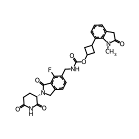 CN1C(=O)Cc2cccc(C3CC(OC(=O)NCc4ccc5c(c4F)C(=O)N([C@H]4CCC(=O)NC4=O)C5)C3)c21